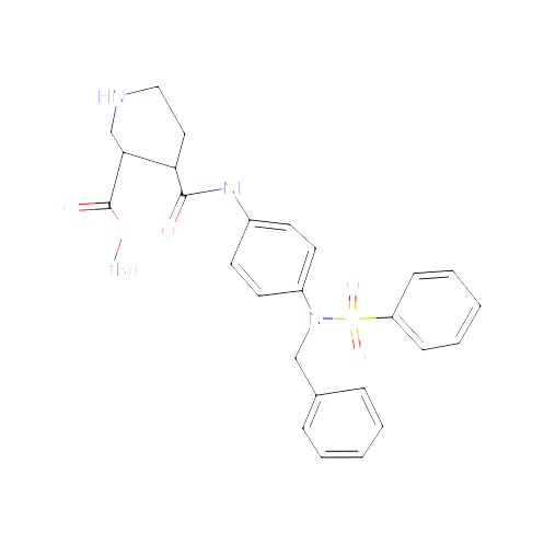 CC(C)(C)OC(=O)C1CNCCC1C(=O)Nc1ccc(N(Cc2ccccc2)S(=O)(=O)c2ccccc2)cc1